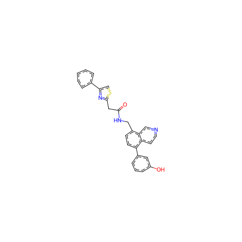 O=C(Cc1nc(-c2ccccc2)cs1)NCc1ccc(-c2cccc(O)c2)c2ccncc12